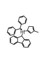 CC1=CC[C]([Hf](=[C](c2ccccc2)c2ccccc2)[CH]2c3ccccc3-c3ccccc32)=C1